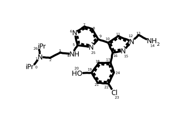 CC(C)N(CCNc1nccc(-c2cn(CN)nc2-c2cc(O)cc(Cl)c2)n1)C(C)C